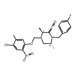 Cc1cc(OCN2C[C@@H](C)N(Cc3ccc(F)cc3)C(=C=O)[C@@H]2C)c([N+](=O)[O-])cc1Cl